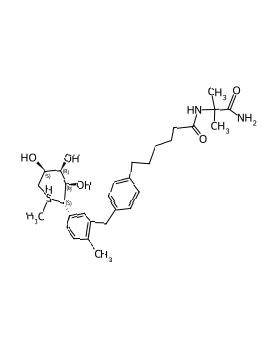 Cc1ccc([C@H]2[C@H](O)[C@H](O)[C@H](O)C[SH]2C)cc1Cc1ccc(CCCCCC(=O)NC(C)(C)C(N)=O)cc1